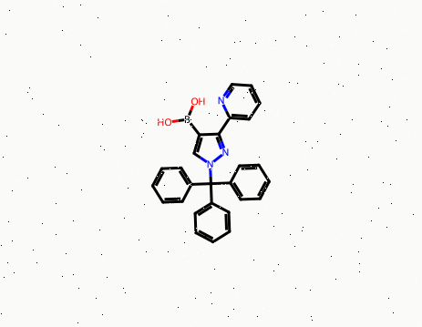 OB(O)c1cn(C(c2ccccc2)(c2ccccc2)c2ccccc2)nc1-c1ccccn1